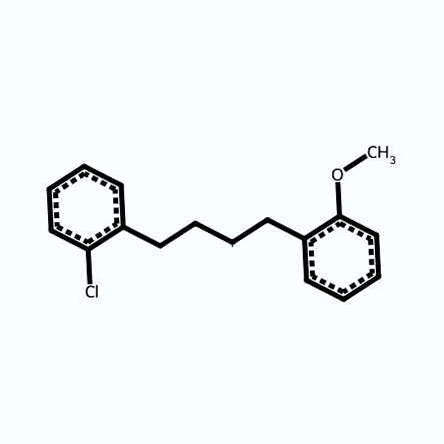 COc1ccccc1C[CH]CCc1ccccc1Cl